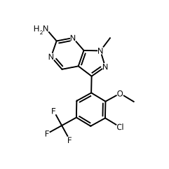 COc1c(Cl)cc(C(F)(F)F)cc1-c1nn(C)c2nc(N)ncc12